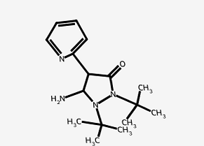 CC(C)(C)N1C(=O)C(c2ccccn2)C(N)N1C(C)(C)C